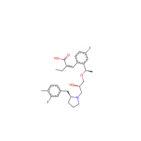 CCC(=Cc1ccc(F)cc1[C@@H](C)OC[C@H](O)CN1CCC[C@H]1Cc1ccc(C)c(F)c1)C(=O)O